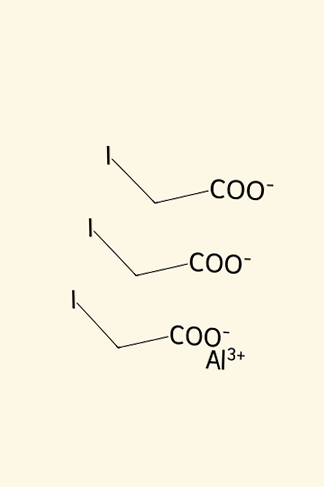 O=C([O-])CI.O=C([O-])CI.O=C([O-])CI.[Al+3]